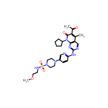 COCCNS(=O)(=O)N1CCN(c2ccc(Nc3ncc4c(C)c(C(C)=O)c(=O)n(C5CCCC5)c4n3)nc2)CC1